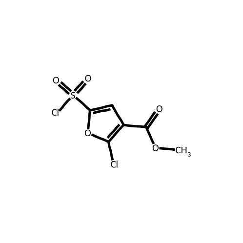 COC(=O)c1cc(S(=O)(=O)Cl)oc1Cl